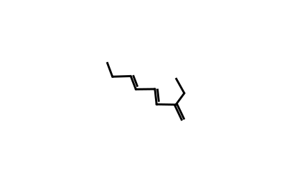 C=C(C=CC=CCC)CC